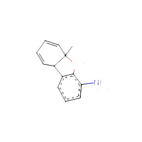 CC12C=CC=CC1c1cccc(N)c1O2